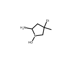 CCC1(C)CC(N)N(O)C1